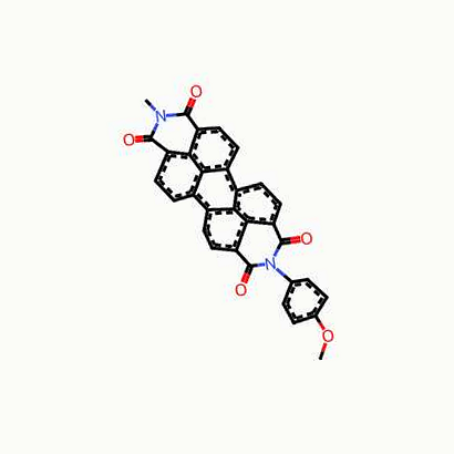 COc1ccc(N2C(=O)c3ccc4c5ccc6c7c(ccc(c8ccc(c3c48)C2=O)c75)C(=O)N(C)C6=O)cc1